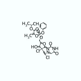 CC(C)OC(=O)[C@H](C)OP(=O)(OC[C@H]1O[C@@H](n2ncc(=O)[nH]c2=O)C(Cl)(C#CCl)[C@H]1O)Oc1ccccc1